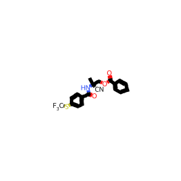 CC(C#N)(COC(=O)c1ccccc1)NC(=O)c1ccc(SC(F)(F)F)cc1